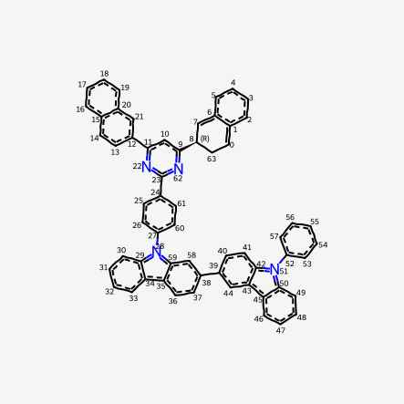 C1=c2ccccc2=C[C@H](c2cc(-c3ccc4ccccc4c3)nc(-c3ccc(-n4c5ccccc5c5ccc(-c6ccc7c(c6)c6ccccc6n7-c6ccccc6)cc54)cc3)n2)C1